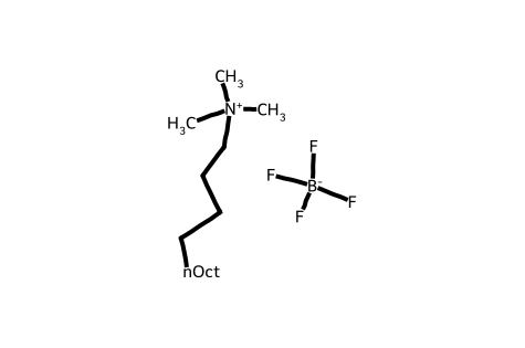 CCCCCCCCCCCC[N+](C)(C)C.F[B-](F)(F)F